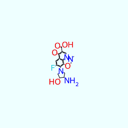 CN1COc2c(N3CC(N)C(O)C3)c(F)cc3c(=O)c(C(=O)O)cn1c23